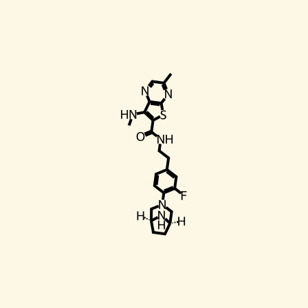 CNc1c(C(=O)NCCc2ccc(N3C[C@H]4CC[C@@H](C3)N4)c(F)c2)sc2nc(C)cnc12